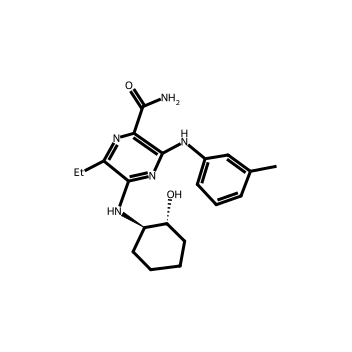 CCc1nc(C(N)=O)c(Nc2cccc(C)c2)nc1N[C@@H]1CCCC[C@H]1O